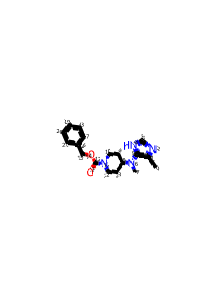 Cc1nc[nH]c1N(C)C1CCN(C(=O)OCc2ccccc2)CC1